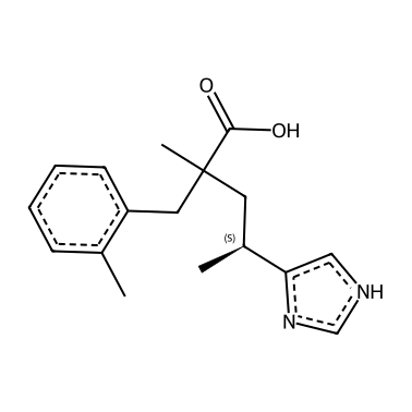 Cc1ccccc1CC(C)(C[C@H](C)c1c[nH]cn1)C(=O)O